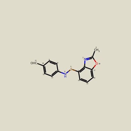 Cc1nc2c(SNc3ccc(C=O)cc3)cccc2o1